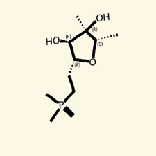 C=P(C)(C)CC[C@H]1O[C@@H](C)[C@](C)(O)[C@@H]1O